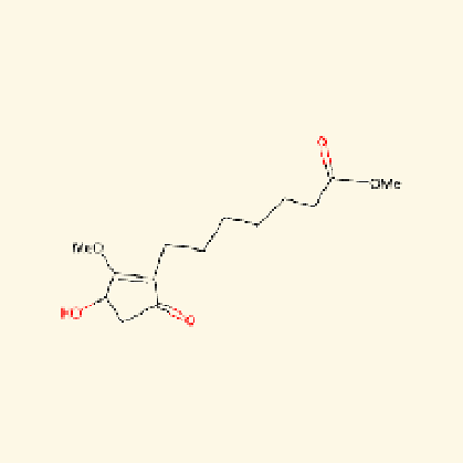 COC(=O)CCCCCCC1=C(OC)C(O)CC1=O